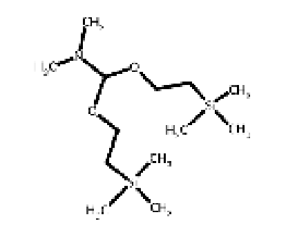 CN(C)C(OCC[Si](C)(C)C)OCC[Si](C)(C)C